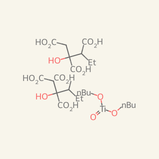 CCC(C(=O)O)C(O)(CC(=O)O)C(=O)O.CCC(C(=O)O)C(O)(CC(=O)O)C(=O)O.CCCC[O][Ti](=[O])[O]CCCC